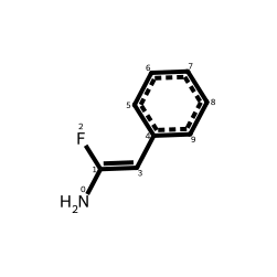 NC(F)=Cc1ccccc1